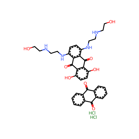 Cl.Cl.O=C1c2c(O)ccc(O)c2C(=O)c2c(NCCNCCO)ccc(NCCNCCO)c21.O=C1c2ccccc2C(=O)c2ccccc21